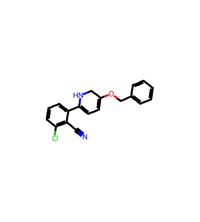 N#Cc1c(Cl)cccc1C1=CC=C(OCc2ccccc2)CN1